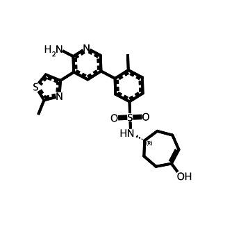 Cc1nc(-c2cc(-c3cc(S(=O)(=O)N[C@@H]4CCC=C(O)CC4)ccc3C)cnc2N)cs1